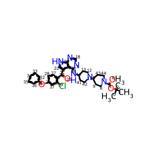 CC(C)(C)OC(=O)N1CCC(N2CCC(Nc3ncnc4[nH]cc(C(=O)c5ccc(Oc6ccccc6)cc5Cl)c34)CC2)CC1